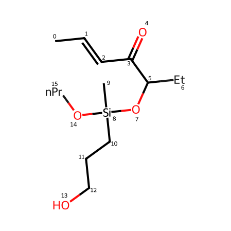 CC=CC(=O)C(CC)O[Si](C)(CCCO)OCCC